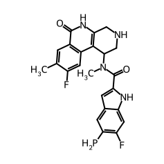 Cc1cc2c(=O)[nH]c3c(c2cc1F)C(N(C)C(=O)c1cc2cc(P)c(F)cc2[nH]1)CNC3